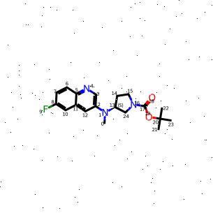 CN(c1cnc2ccc(F)cc2c1)[C@H]1CCN(C(=O)OC(C)(C)C)C1